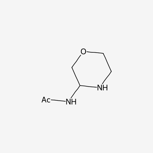 CC(=O)NC1COCCN1